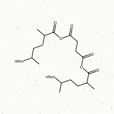 CCCCCCCCCC(C)CCC(C)C(=O)OC(=O)CCC(=O)OC(=O)C(C)CCC(C)CCCCCCCCC